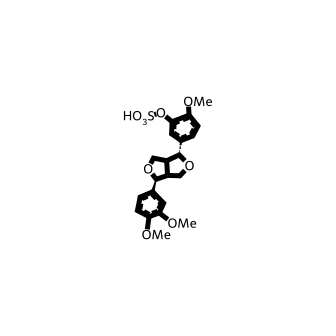 COc1ccc([C@H]2OCC3C2CO[C@H]3c2ccc(OC)c(OS(=O)(=O)O)c2)cc1OC